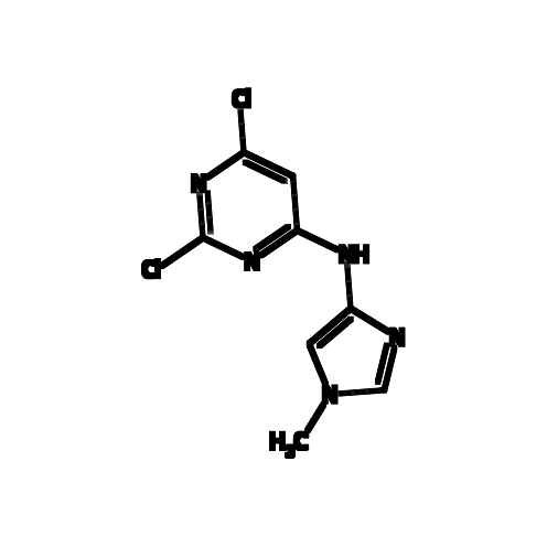 Cn1cnc(Nc2cc(Cl)nc(Cl)n2)c1